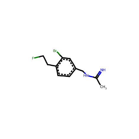 CC(=N)NCc1ccc(CCF)c(Br)c1